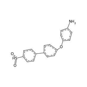 Nc1ccc(Oc2ccc(-c3ccc([SH](=O)=O)cc3)cc2)cc1